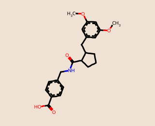 COc1cc(CC2CCCC2C(=O)NCc2ccc(C(=O)O)cc2)cc(OC)c1